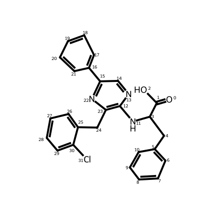 O=C(O)C(Cc1ccccc1)Nc1ncc(-c2ccccc2)nc1Cc1ccccc1Cl